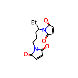 CCC(CCCN1C(=O)C=CC1=O)N1C(=O)C=CC1=O